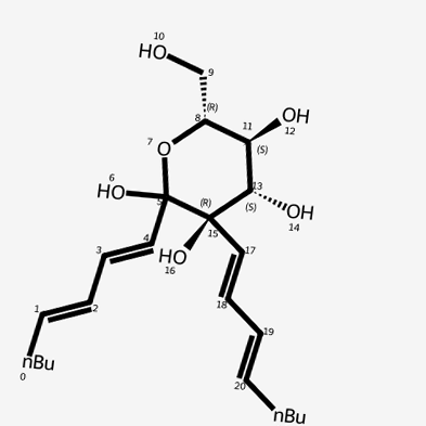 CCCCC=CC=CC1(O)O[C@H](CO)[C@@H](O)[C@H](O)[C@]1(O)C=CC=CCCCC